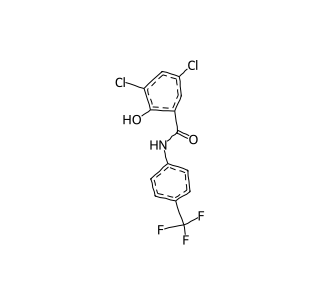 O=C(Nc1ccc(C(F)(F)F)cc1)c1cc(Cl)cc(Cl)c1O